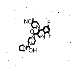 CC1(C#N)CCN(c2c(C(=O)N3CCN(C(O)N4CCCC4)CC3)cnc3c(F)cc(F)cc23)CC1